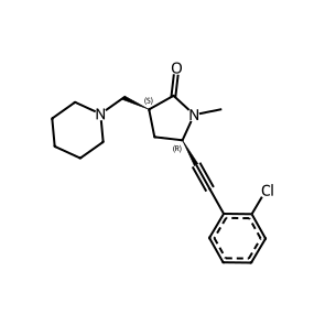 CN1C(=O)[C@H](CN2CCCCC2)C[C@@H]1C#Cc1ccccc1Cl